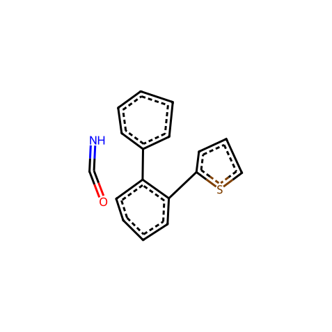 N=C=O.c1ccc(-c2ccccc2-c2cccs2)cc1